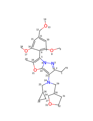 CCc1nn2c(-c3c(OC)cc(COC)cc3OC)c(C)oc2c1N(CC1CC1)CC1CCOC1